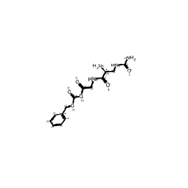 NC(=O)NC[C@H](N)C(=O)NCC(=O)OC(=O)OCc1ccccc1